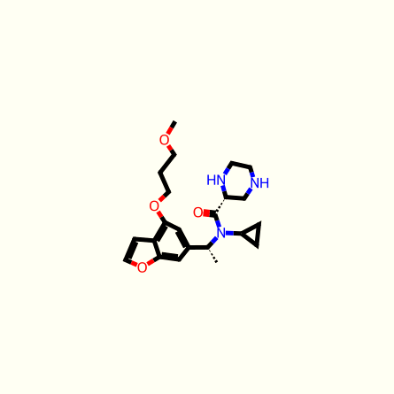 COCCCOc1cc([C@@H](C)N(C(=O)[C@H]2CNCCN2)C2CC2)cc2occc12